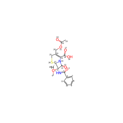 CO[C@]1(NC(=O)c2ccccc2)C(=O)N2C(C(=O)O)=C(COC(C)=O)CS[C@@H]21